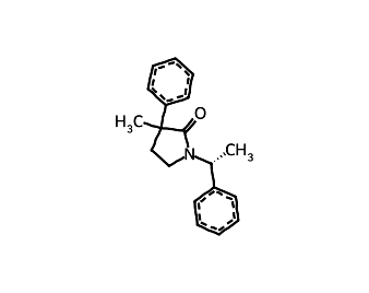 C[C@H](c1ccccc1)N1CCC(C)(c2ccccc2)C1=O